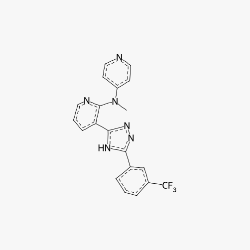 CN(c1ccncc1)c1ncccc1-c1nnc(-c2cccc(C(F)(F)F)c2)[nH]1